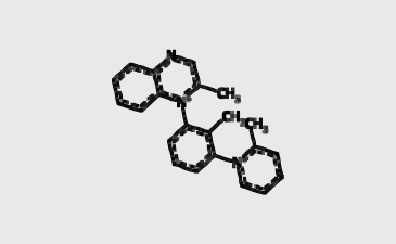 Cc1c(-[n+]2ccccc2C)cccc1-[n+]1c(C)cnc2ccccc21